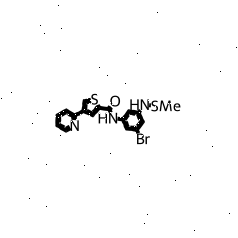 CSNc1cc(Br)cc(NC(=O)c2cc(-c3ccccn3)cs2)c1